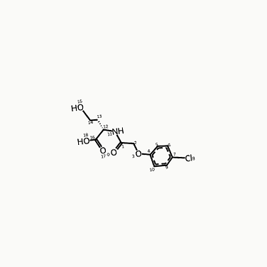 O=C(COc1ccc(Cl)cc1)N[C@@H](CCO)C(=O)O